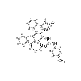 Cc1ccc(NC(=O)Nc2cc(-c3ccccc3-c3noc(=O)[nH]3)cc3c2OCCCC3c2ccccc2)cc1